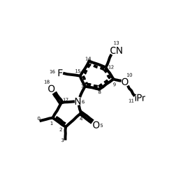 CC1=C(C)C(=O)N(c2cc(OC(C)C)c(C#N)cc2F)C1=O